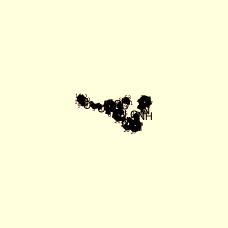 Cc1c(OCCCO[Si](C)(C)C(C)(C)C)cccc1-c1ccc(N2CCc3cccc(C(=O)Nc4nc5ccccc5s4)c3C2)nc1C(=O)OC(C)(C)C